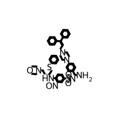 N/C(=N/S(=O)(=O)c1ccc(N[C@H](CCN2CCOCC2)CSc2ccccc2)c(N=O)c1)c1ccc(N2CCN(CC=C(c3ccccc3)c3ccccc3)CC2)cc1